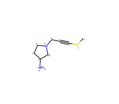 CSC#CCN1CCC(N)C1